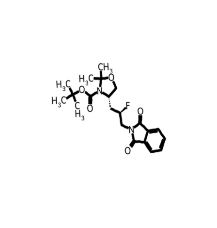 CC(C)(C)OC(=O)N1[C@@H](C[C@@H](F)CN2C(=O)c3ccccc3C2=O)COC1(C)C